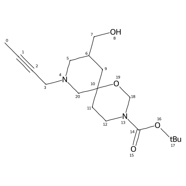 CC#CCN1CC(CO)CC2(CCN(C(=O)OC(C)(C)C)CO2)C1